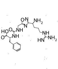 N=C(N)NCCC[C@H](N)c1noc(CNC(=O)N[C@@H](Cc2cc#ccc2)C(=O)O)n1